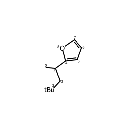 CC(CC(C)(C)C)c1ccco1